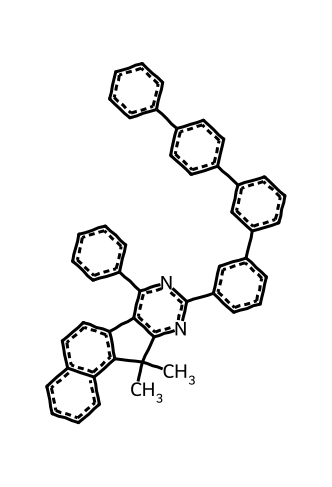 CC1(C)c2nc(-c3cccc(-c4cccc(-c5ccc(-c6ccccc6)cc5)c4)c3)nc(-c3ccccc3)c2-c2ccc3ccccc3c21